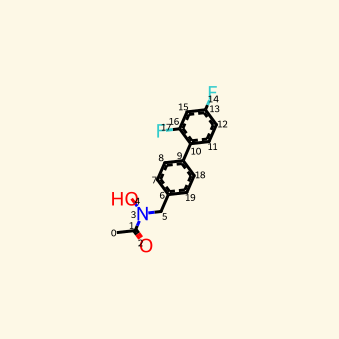 CC(=O)N(O)Cc1ccc(-c2ccc(F)cc2F)cc1